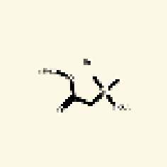 CCCCCCCC[N+](C)(C)CC(=O)OCCCCCC.[Br-]